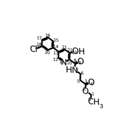 CCOC(=O)CCNC(=O)c1ncc(-c2cccc(Cl)c2)cc1O